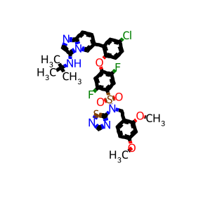 COc1ccc(CN(c2ncns2)S(=O)(=O)c2cc(F)c(Oc3ccc(Cl)cc3-c3ccc4ncc(NC(C)(C)C)n4c3)cc2F)c(OC)c1